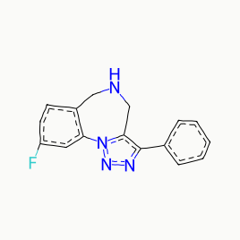 Fc1ccc2c(c1)-n1nnc(-c3ccccc3)c1CNC2